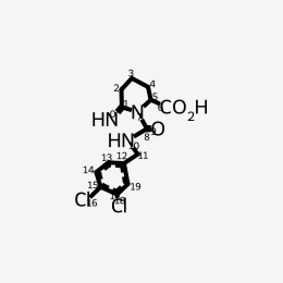 N=C1CCCC(C(=O)O)N1C(=O)NCc1ccc(Cl)c(Cl)c1